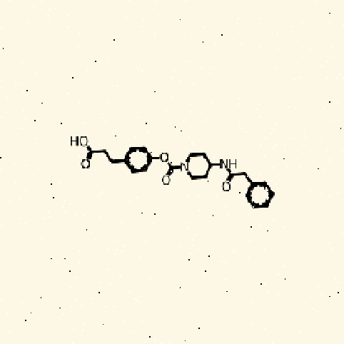 O=C(O)CCc1ccc(OC(=O)N2CCC(NC(=O)Cc3ccccc3)CC2)cc1